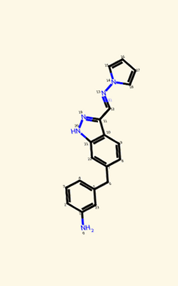 Nc1cccc(Cc2ccc3c(/C=N/n4cccc4)n[nH]c3c2)c1